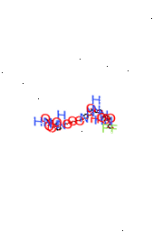 O=C1CCC(N2C(=O)c3cccc(NCCOCCOCCOCCN4CCC5(CC4)CCN(C(=O)c4cc6cc(N7CC[C@](O)(C(=O)NCc8cc(F)cc(F)c8)C7=O)ccc6[nH]4)CC5)c3C2=O)C(=O)N1